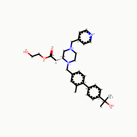 Cc1cc(CN2CCN(Cc3ccncc3)C[C@H]2CC(=O)OCCO)ccc1-c1ccc(C(C)(O)C(F)(F)F)cc1